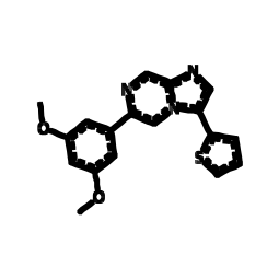 COc1cc(OC)cc(-c2cn3c(-c4cccs4)cnc3cn2)c1